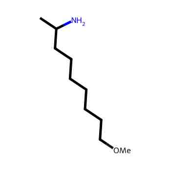 COCCCCCCCC(C)N